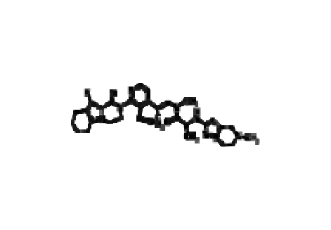 C=C(Nc1cc2n(n1)CCN(C)C2)C(=O)N(C)/C=C(\C)c1ccnc(N2CCn3c4c(c(F)c3C2=O)CCCC4)c1C=O